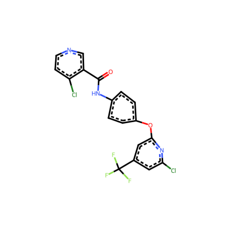 O=C(Nc1ccc(Oc2cc(C(F)(F)F)cc(Cl)n2)cc1)c1cnccc1Cl